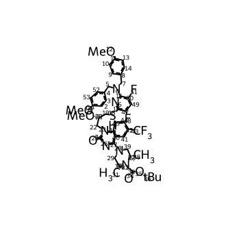 COc1ccc(CN(Cc2ccc(OC)cc2)c2nc([SH]3C[C@@H](OC)Cn4c(=O)nc(N5C[C@@H](C)N(C(=O)OC(C)(C)C)[C@@H](C)C5)c5cc(C(F)(F)F)cc3c54)c(F)cc2F)cc1